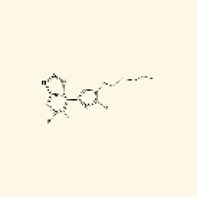 CCCCCCc1cc(-c2c(F)c(F)cc3nsnc23)sc1Br